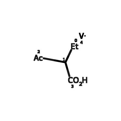 CCC(C(C)=O)C(=O)O.[V]